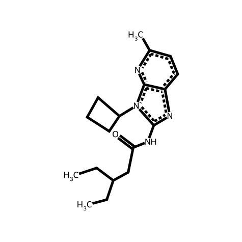 CCC(CC)CC(=O)Nc1nc2ccc(C)nc2n1C1CCC1